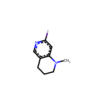 CN1CCCc2cnc(I)cc21